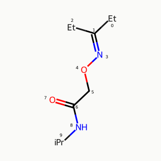 CCC(CC)=NOCC(=O)NC(C)C